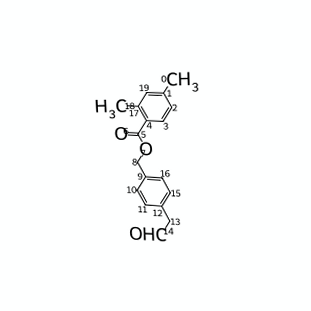 Cc1ccc(C(=O)OCc2ccc(CC=O)cc2)c(C)c1